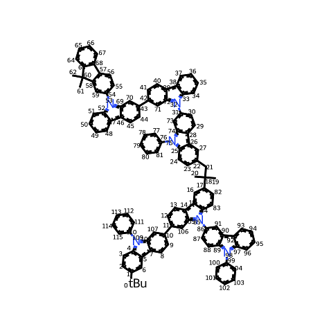 CC(C)(C)c1ccc2c(c1)c1ccc(-c3ccc4c5cc(C(C)(C)Cc6ccc7c(c6)c6ccc(-n8c9ccccc9c9ccc(-c%10ccc%11c%12ccccc%12n(-c%12ccc%13c(c%12)C(C)(C)c%12ccccc%12-%13)c%11c%10)cc98)cc6n7-c6ccccc6)ccc5n(-c5ccc6c(c5)c5ccccc5n6-c5ccccc5)c4c3)cc1n2-c1ccccc1